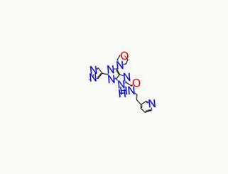 Cn1cc(-c2nc(N3CCOCC3)c3nc(C(=O)NCCc4cccnc4)[nH]c3n2)cn1